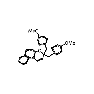 COc1ccc(CC2(Cc3ccc(OC)cc3)C=Cc3c(ccc4ccccc34)O2)cc1